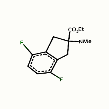 CCOC(=O)C1(NC)Cc2c(F)ccc(F)c2C1